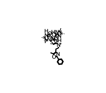 Cc1oc(-c2ccccc2)nc1CCN(C)c1csc(C(OP2(=O)N[C@@H](C)[C@H](C)N2)P2(=O)N[C@@H](C)[C@H](C)N2)n1